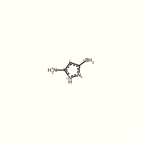 Bc1cc(N)[nH]n1